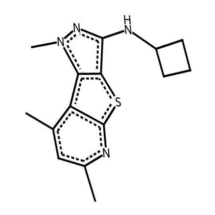 Cc1cc(C)c2c(n1)sc1c(NC3CCC3)nn(C)c12